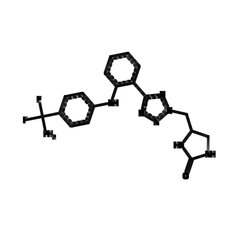 O=C1NCC(Cn2nnc(-c3ccccc3Nc3ccc(C(F)(F)P)cc3)n2)N1